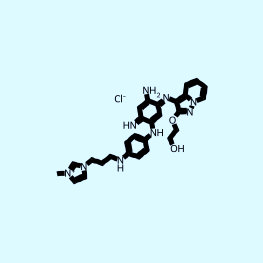 C[n+]1ccn(CCCNc2ccc(NC3=C/C(=N\c4c(OCCO)nn5ccccc45)C(N)=CC3=N)cc2)c1.[Cl-]